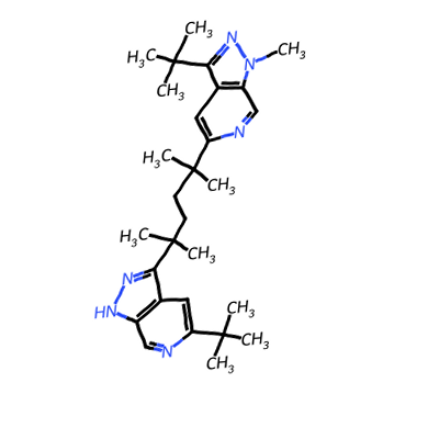 Cn1nc(C(C)(C)C)c2cc(C(C)(C)CCC(C)(C)c3n[nH]c4cnc(C(C)(C)C)cc34)ncc21